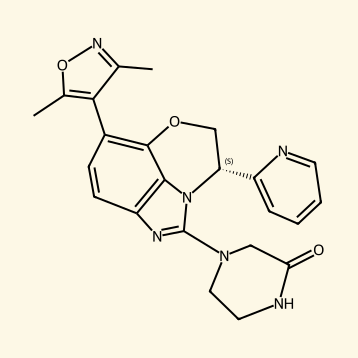 Cc1noc(C)c1-c1ccc2nc(N3CCNC(=O)C3)n3c2c1OC[C@@H]3c1ccccn1